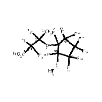 F.O=C(O)C(F)(F)C(F)(OC1(F)C(F)(F)C(F)(F)C(F)(F)C1(F)F)C(F)(F)F